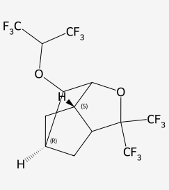 FC(F)(F)C(OC1C2OC(C(F)(F)F)(C(F)(F)F)C3C[C@H]1C[C@H]23)C(F)(F)F